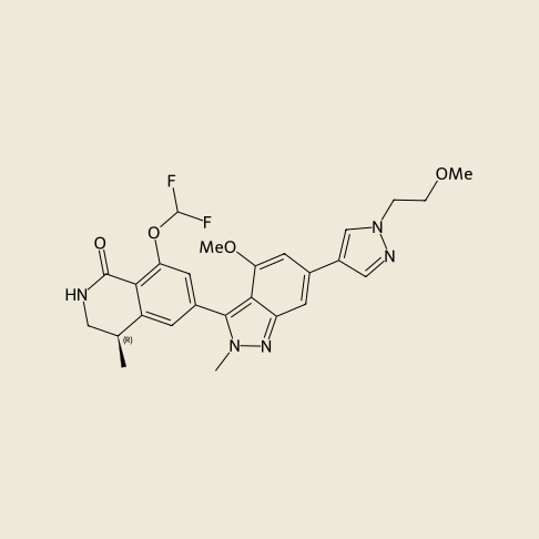 COCCn1cc(-c2cc(OC)c3c(-c4cc(OC(F)F)c5c(c4)[C@@H](C)CNC5=O)n(C)nc3c2)cn1